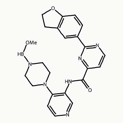 COBN1CCN(c2ccncc2NC(=O)c2ccnc(-c3ccc4c(c3)CCO4)n2)CC1